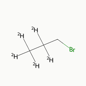 [2H]C([2H])([2H])C([2H])([2H])CBr